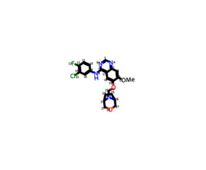 COc1cc2ncnc(Nc3ccc(F)c(Cl)c3)c2cc1OCN1C2CCC1COC2